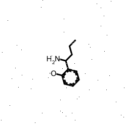 CCCC(N)c1ccccc1[O]